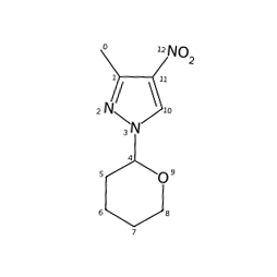 Cc1nn(C2CCCCO2)cc1[N+](=O)[O-]